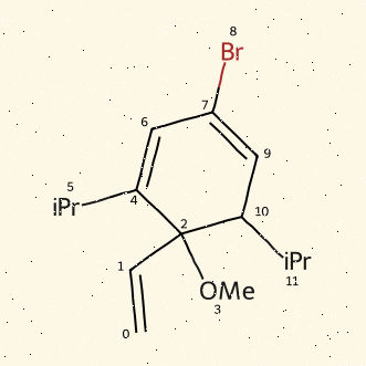 C=CC1(OC)C(C(C)C)=CC(Br)=CC1C(C)C